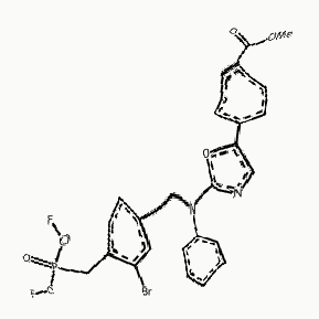 COC(=O)c1ccc(-c2cnc(N(Cc3ccc(CP(=O)(OF)OF)c(Br)c3)c3ccccc3)o2)cc1